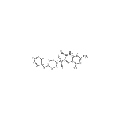 Cc1nc(Cl)c2cc(S(=O)(=O)N3CCN(Cc4ccccc4)CC3)c(=O)[nH]c2n1